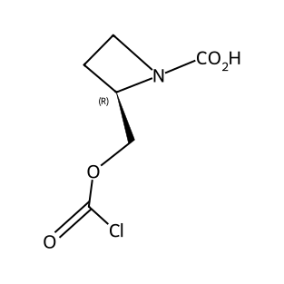 O=C(Cl)OC[C@H]1CCN1C(=O)O